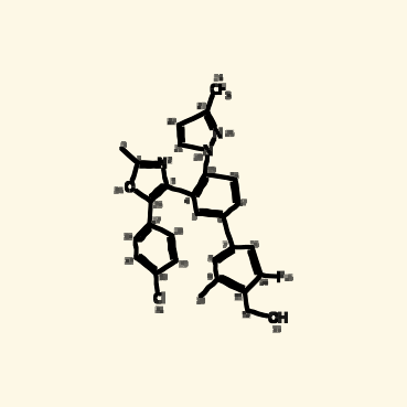 Cc1nc(-c2cc(-c3cc(C)c(CO)c(F)c3)ccc2-n2ccc(C(F)(F)F)n2)c(-c2ccc(Cl)cc2)o1